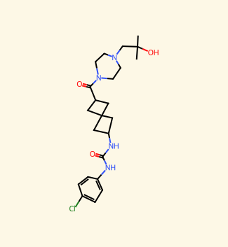 CC(C)(O)CN1CCN(C(=O)C2CC3(CC(NC(=O)Nc4ccc(Cl)cc4)C3)C2)CC1